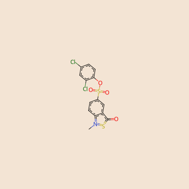 Cn1sc(=O)c2cc(S(=O)(=O)Oc3ccc(Cl)cc3Cl)ccc21